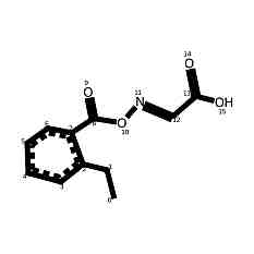 CCc1ccccc1C(=O)ON=CC(=O)O